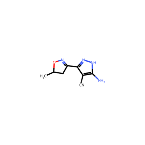 CC1CC(c2n[nH]c(N)c2C#N)=NO1